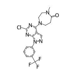 CN1CCN(c2nc(Cl)nc3c2cnn3-c2cccc(C(F)(F)F)c2)CCC1=O